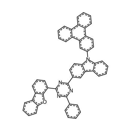 c1ccc(-c2nc(-c3ccc4c(c3)c3ccccc3n4-c3ccc4c5ccccc5c5ccccc5c4c3)nc(-c3cccc4c3oc3ccccc34)n2)cc1